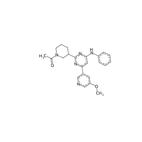 COc1cncc(-c2cc(Nc3ccccc3)nc(C3CCCN(C(C)=O)C3)n2)c1